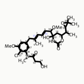 COc1cc(C/C(C)=C/C=C/C(OC)C2(O)CC(C(C)C3OC3(C)C)OC(=O)N2)cc(N(C)C(=O)CCO)c1Cl